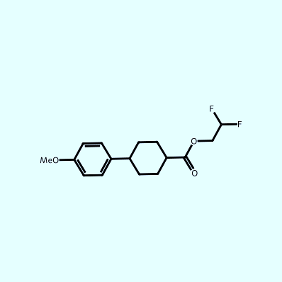 COc1ccc(C2CCC(C(=O)OCC(F)F)CC2)cc1